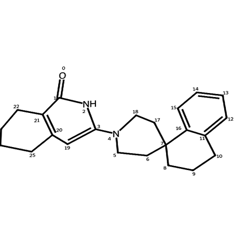 O=c1[nH]c(N2CCC3(CCCc4ccccc43)CC2)cc2c1CCCC2